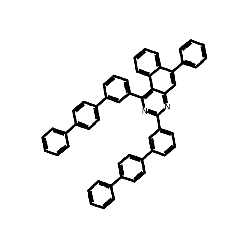 c1ccc(-c2ccc(-c3cccc(-c4nc(-c5cccc(-c6ccc(-c7ccccc7)cc6)c5)c5c(cc(-c6ccccc6)c6ccccc65)n4)c3)cc2)cc1